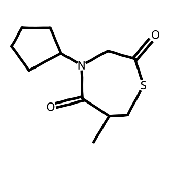 CC1CSC(=O)CN(C2CCCC2)C1=O